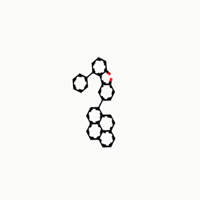 c1ccc(-c2cccc3oc4ccc(-c5ccc6ccc7cccc8ccc5c6c78)cc4c23)cc1